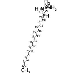 CCCCCCCCCCCCCCCCCCCCCCPCCC(N)(N)N